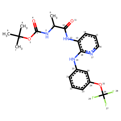 CC(NC(=O)OC(C)(C)C)C(=O)Nc1cccnc1Nc1cccc(OC(F)(F)F)c1